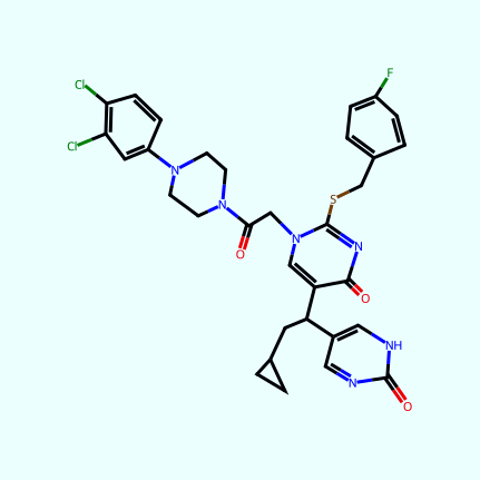 O=C(Cn1cc(C(CC2CC2)c2cnc(=O)[nH]c2)c(=O)nc1SCc1ccc(F)cc1)N1CCN(c2ccc(Cl)c(Cl)c2)CC1